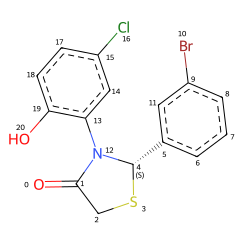 O=C1CS[C@@H](c2cccc(Br)c2)N1c1cc(Cl)ccc1O